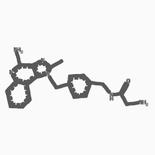 Cc1nc2c(N)nc3ccccc3c2n1Cc1ccc(CNC(=O)CN)cc1